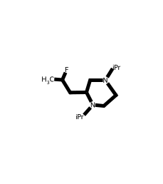 CC(F)CC1CN(C(C)C)CCN1C(C)C